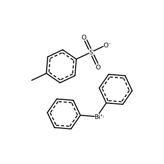 Cc1ccc(S(=O)(=O)[O-])cc1.c1cc[c]([Bi+][c]2ccccc2)cc1